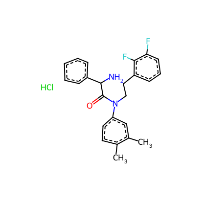 Cc1ccc(N(CCc2cccc(F)c2F)C(=O)C(N)c2ccccc2)cc1C.Cl